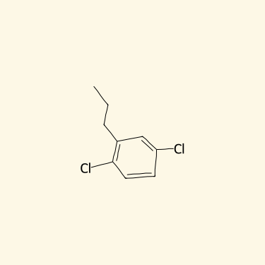 CCCc1cc(Cl)ccc1Cl